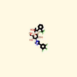 CC(C)(O)[C@H](S[C@@H]1O[C@H](CO)[C@H](O)[C@H](n2cc(-c3cc(F)c(F)c(F)c3)nn2)[C@H]1O)c1ccccc1C(F)(F)F